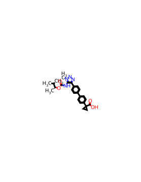 CC(C)[C@@H](C)OC(=O)Nc1c(-c2ccc(-c3ccc(C4(C(=O)O)CC4)cc3)cc2)nnn1C